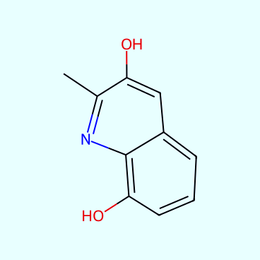 Cc1nc2c(O)cccc2cc1O